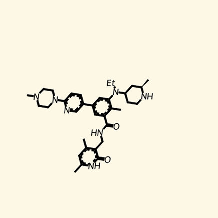 CCN(c1cc(-c2ccc(N3CCN(C)CC3)nc2)cc(C(=O)NCc2c(C)cc(C)[nH]c2=O)c1C)C1CCN[C@H](C)C1